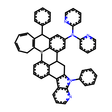 C1=CCC2=C(C=C1)C(c1ccccc1)c1cc(N(c3ccccn3)c3ccccn3)cc3c1B2c1cccc2c1C3Cc1c-2c2cccnc2n1-c1ccccc1